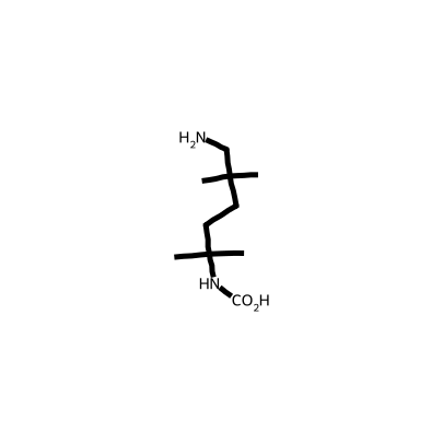 CC(C)(CN)CCC(C)(C)NC(=O)O